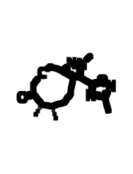 Cc1noc(-c2c3c(nn2C)CCCC(=O)[C@@H](C)[C@@H](C)CC3)n1